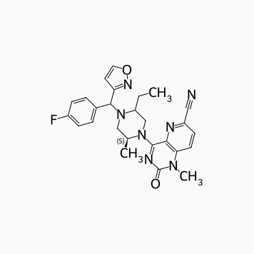 CCC1CN(c2nc(=O)n(C)c3ccc(C#N)nc23)[C@@H](C)CN1C(c1ccc(F)cc1)c1ccon1